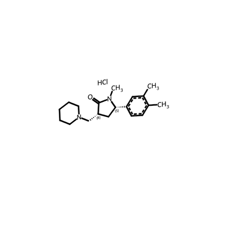 Cc1ccc([C@@H]2C[C@H](CN3CCCCC3)C(=O)N2C)cc1C.Cl